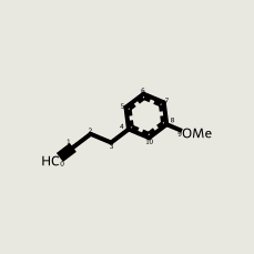 C#CCCc1cccc(OC)c1